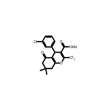 COC(=O)C1=C(C(F)(F)F)OC2=C(C(=O)CC(C)(C)C2)C1c1cccc(Cl)c1